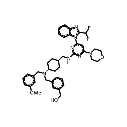 COc1cccc(CN(Cc2cccc(CO)c2)[C@H]2CC[C@H](CNc3nc(N4CCOCC4)cc(-n4c(C(F)F)nc5ccccc54)n3)CC2)c1